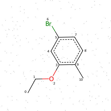 CCOc1cc(Br)ccc1C